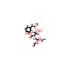 CC(O)CC(C)(C)O.CCOC(C)OCC.O=CCc1ccccc1